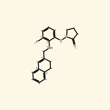 O=C1CCCN1Oc1cccc(F)c1NCC1=Cc2ccccc2CC1